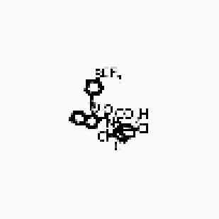 O=C(NC(C(=O)O)C12CC3(Cl)CC(Cl)(CC(Cl)(C3)C1)C2)c1ccc2ccccc2c1OCc1ccc(SC(F)(F)F)cc1